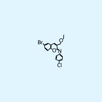 CCOCc1cc2cc(Br)ccc2o/c1=N\c1ccc(Cl)cc1